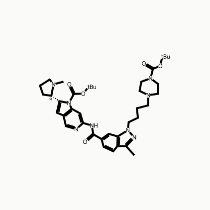 Cc1nn(CCCCN2CCN(C(=O)OC(C)(C)C)CC2)c2cc(C(=O)Nc3cc4c(cn3)cc([C@@H]3CCCN3C)n4C(=O)OC(C)(C)C)ccc12